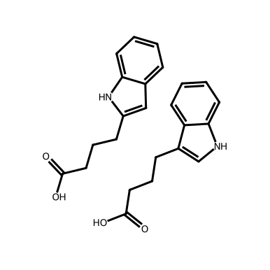 O=C(O)CCCc1c[nH]c2ccccc12.O=C(O)CCCc1cc2ccccc2[nH]1